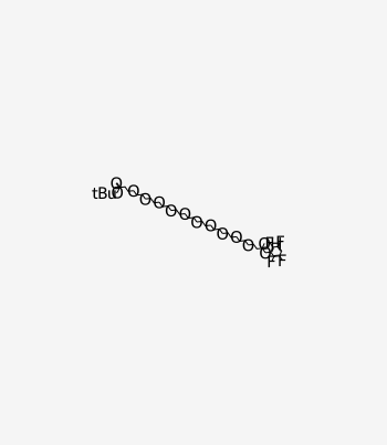 CC(C)(C)OC(=O)CCOCCOCCOCCOCCOCCOCCOCCOCCOCCOCCC(O)Oc1c(F)c(F)cc(F)c1F